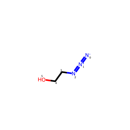 [N-]=[N+]=N[CH]CO